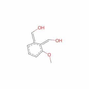 COc1cccc(=CO)c1=CO